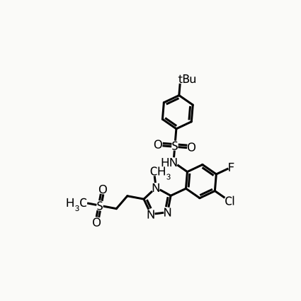 Cn1c(CCS(C)(=O)=O)nnc1-c1cc(Cl)c(F)cc1NS(=O)(=O)c1ccc(C(C)(C)C)cc1